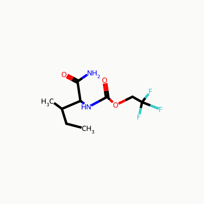 CCC(C)C(NC(=O)OCC(F)(F)F)C(N)=O